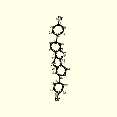 Brc1ccc(-c2ccc3c(c2)sc2c4ccc(-c5ccc(Br)cc5)cc4sc32)cc1